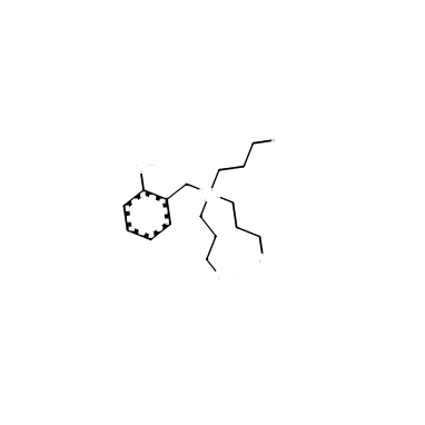 CCC[CH2][Sn]([CH2]CCC)([CH2]CCC)[CH2]c1ccccc1C